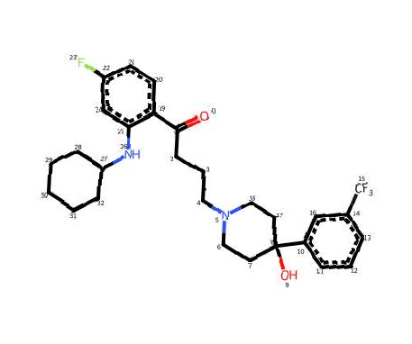 O=C(CCCN1CCC(O)(c2cccc(C(F)(F)F)c2)CC1)c1ccc(F)cc1NC1CCCCC1